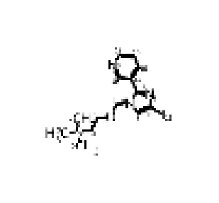 CS(C)(C)CCOCn1cc(I)nc1-c1cccnc1